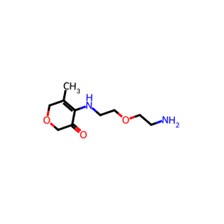 CC1=C(NCCOCCN)C(=O)COC1